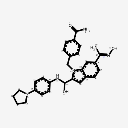 NC(=O)c1ccc(Cn2c(C(O)Nc3ccc(N4CCCC4)cc3)cc3ccc(/C(N)=N/O)cc32)cc1